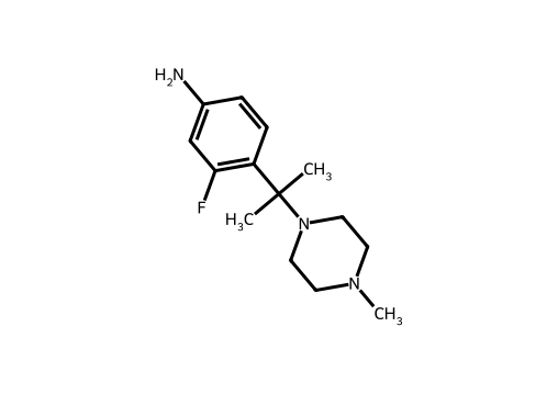 CN1CCN(C(C)(C)c2ccc(N)cc2F)CC1